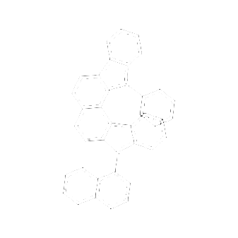 c1ccc(-n2c3ccccc3c3ccc4ccc5c(c6ccccc6n5-c5cccc6ccccc56)c4c32)cc1